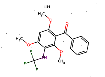 COc1cc(OC)c(C(=O)c2ccccc2)c(OC)c1PC(F)(F)F.[LiH]